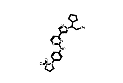 N#CCC(C1CCCC1)n1cc(-c2ccnc(Nc3ccc(N4CCCS4(=O)=O)cc3)n2)cn1